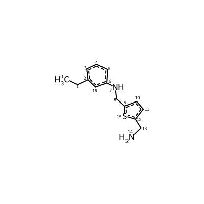 CCc1cccc(NCc2ccc(CN)s2)c1